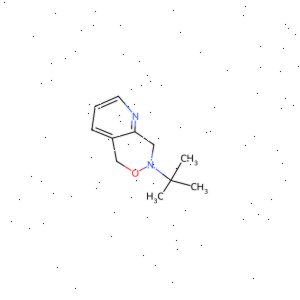 CC(C)(C)N1Cc2ncccc2CO1